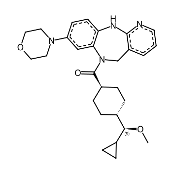 CO[C@@H](C1CC1)[C@H]1CC[C@H](C(=O)N2Cc3cccnc3Nc3ccc(N4CCOCC4)cc32)CC1